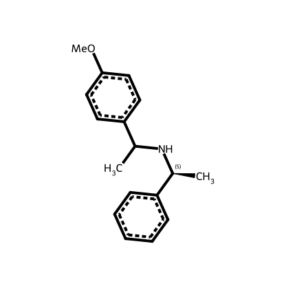 COc1ccc(C(C)N[C@@H](C)c2ccccc2)cc1